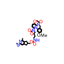 COc1ccc(CN2C(=O)COc3ccc(N4CC(CCNC(=O)OCC5Cc6cc(N(C)C)nc(C)c6C5)OC4=O)nc32)cc1